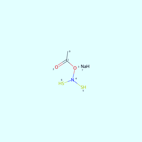 CC(=O)ON(S)S.[NaH]